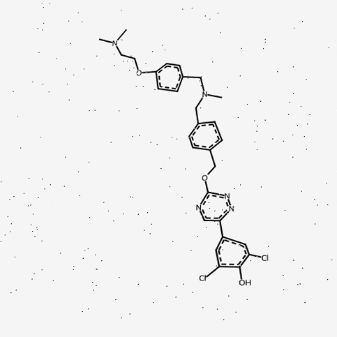 CN(C)CCOc1ccc(CN(C)Cc2ccc(COc3ncc(-c4cc(Cl)c(O)c(Cl)c4)nn3)cc2)cc1